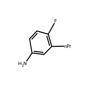 CCCc1cc(N)ccc1F